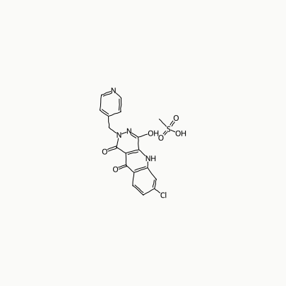 CS(=O)(=O)O.O=c1c2ccc(Cl)cc2[nH]c2c(O)nn(Cc3ccncc3)c(=O)c12